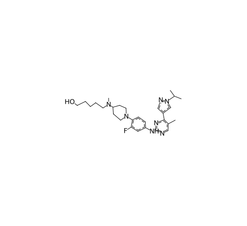 Cc1cnc(Nc2ccc(N3CCC(N(C)CCCCCO)CC3)c(F)c2)nc1-c1cnn(C(C)C)c1